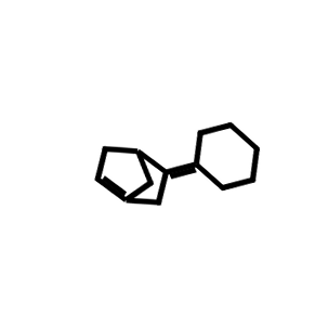 C1=C2CC(=C3CCCCC3)C(C1)C2